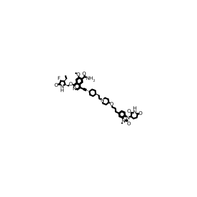 CC[C@@H]1[C@H](F)C(=O)N[C@@H]1COc1ncc(C#C[C@H]2CC[C@H](CCN3CCC(OCCCc4ccc5c(c4)n(C)c(=O)n5C4CCC(=O)NC4=O)CC3)CC2)c2cc(C(N)=O)c(OC)cc12